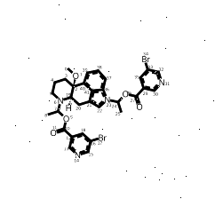 CO[C@]12CCCN(C(C)OC(=O)c3cncc(Br)c3)[C@@H]1Cc1cn(C(C)OC(=O)c3cncc(Br)c3)c3cccc2c13